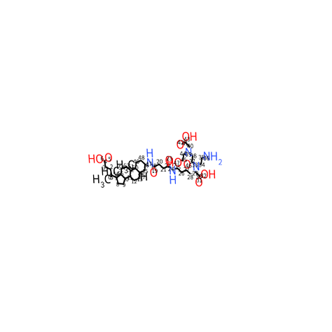 CC(CCC(=O)O)C1CCC2C3CC[C@@H]4C[C@@H](NC(=O)CCC(=O)NCCCC[C@@H](C(=O)O)N(CCN)CCN(CC(=O)O)CC(=O)O)CC[C@]4(C)C3CC[C@]12C